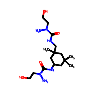 CC1(C)CC(NC(=O)N(N)CCO)CC(C)(CNC(=O)N(N)CCO)C1